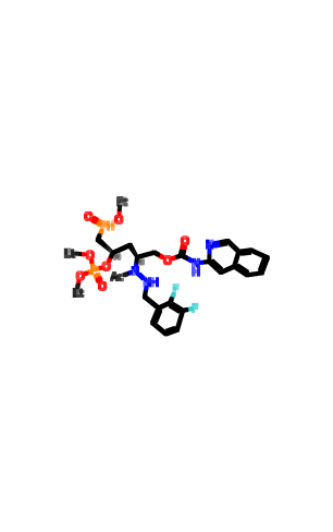 CCO[PH](=O)C[C@@H](C[C@@H](COC(=O)Nc1cc2ccccc2cn1)N(NCc1cccc(F)c1F)C(C)=O)OP(=O)(OCC)OCC